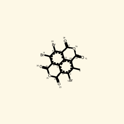 Cc1c(Br)c2c3c(c(Br)c(Br)c4c3c1C(=O)OC4=O)C(=O)OC2=O